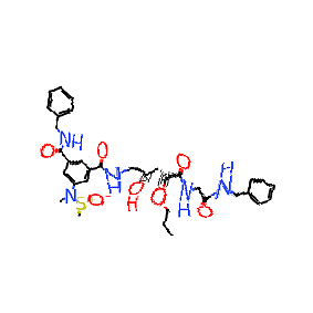 CCCO[C@H](C[C@H](O)CNC(=O)c1cc(C(=O)NCc2ccccc2)cc(N(C)[S+](C)[O-])c1)C(=O)NCC(=O)NCc1ccccc1